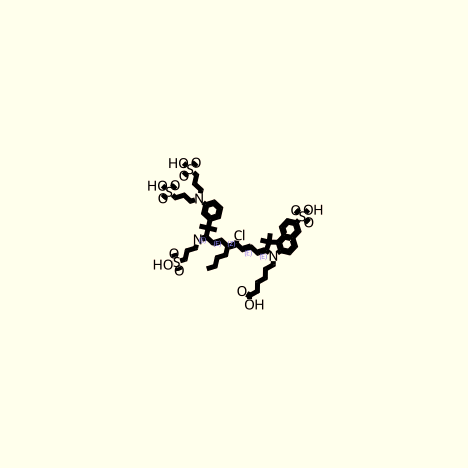 CCCCC(/C=C/C(=N\CCCS(=O)(=O)O)C(C)(C)c1cccc(N(CCCS(=O)(=O)O)CCCS(=O)(=O)O)c1)=C(Cl)\C=C\C=C1\N(CCCCCC(=O)O)c2ccc3cc(S(=O)(=O)O)ccc3c2C1(C)C